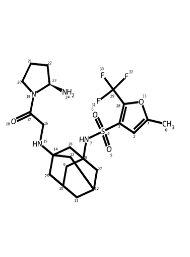 Cc1cc(S(=O)(=O)NC23CC4CC(CC(NCC(=O)N5CCC[C@H]5N)(C4)C2)C3)c(C(F)(F)F)o1